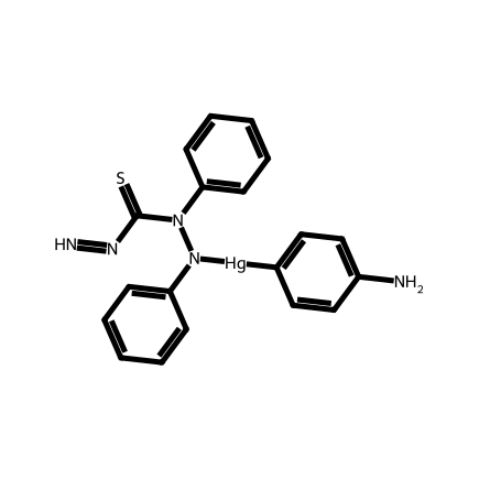 N=NC(=S)N(c1ccccc1)[N]([Hg][c]1ccc(N)cc1)c1ccccc1